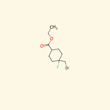 CCOC(=O)C1CCC(F)(CBr)CC1